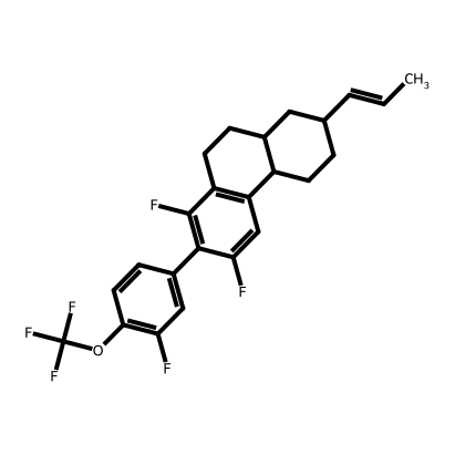 CC=CC1CCC2c3cc(F)c(-c4ccc(OC(F)(F)F)c(F)c4)c(F)c3CCC2C1